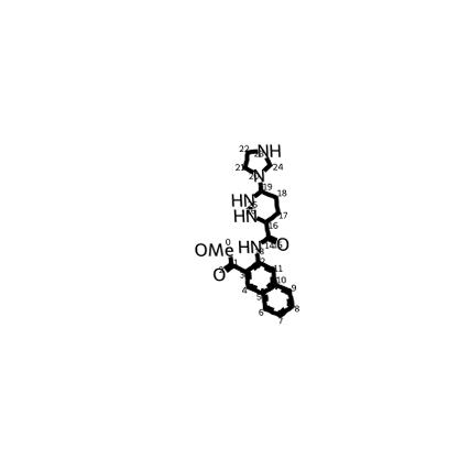 COC(=O)c1cc2ccccc2cc1NC(=O)C1CCC(N2CCNC2)NN1